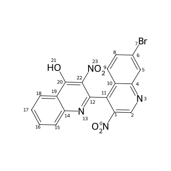 O=[N+]([O-])c1cnc2cc(Br)ccc2c1-c1nc2ccccc2c(O)c1[N+](=O)[O-]